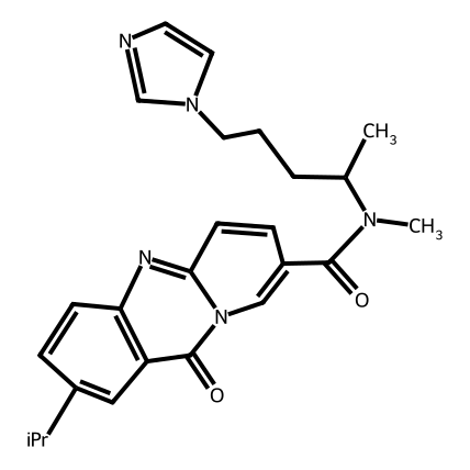 CC(C)c1ccc2nc3ccc(C(=O)N(C)C(C)CCCn4ccnc4)cn3c(=O)c2c1